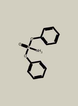 NP(=O)(Oc1ccccc1)Oc1ccccc1